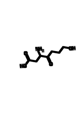 NC(CC(=O)O)C(=O)CCCO